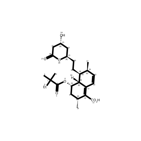 CCC(C)(C)C(=O)O[C@H]1C[C@@H](C)C(C(=O)O)=C2C=C[C@H](C)[C@H](CC[C@@H]3C[C@@H](O)CC(=O)O3)[C@H]21